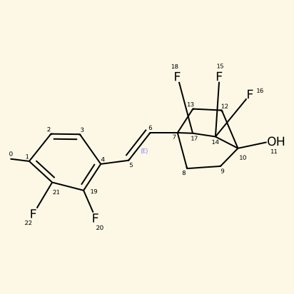 Cc1ccc(/C=C/C23CCC(O)(CC2)C(F)(F)C3F)c(F)c1F